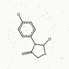 O=C1CSC(Cl)N1c1ccc(Cl)cc1